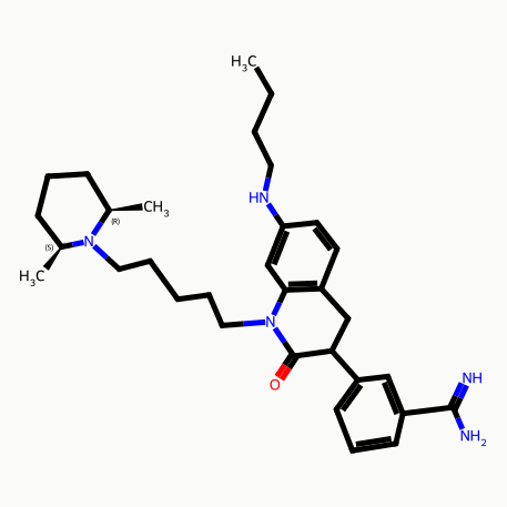 CCCCNc1ccc2c(c1)N(CCCCCN1[C@H](C)CCC[C@@H]1C)C(=O)C(c1cccc(C(=N)N)c1)C2